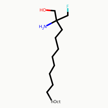 CCCCCCCCCCCCCCCCC(N)(CO)CF